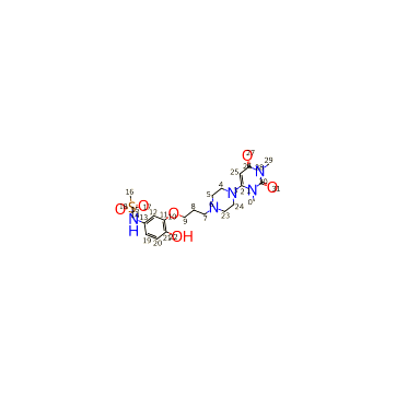 Cn1c(N2CCN(CCCOc3cc(NS(C)(=O)=O)ccc3O)CC2)cc(=O)n(C)c1=O